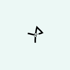 C[N+]1(C)CC1